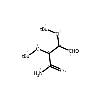 CC(C)(C)OC(C=O)C(OC(C)(C)C)C(N)=O